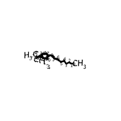 CCCCCCCC=Cc1ccc(C(C)C)cc1